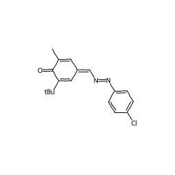 CC1=CC(=CN=Nc2ccc(Cl)cc2)C=C(C(C)(C)C)C1=O